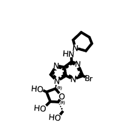 OC[C@H]1O[C@@H](n2cnc3c(NN4CCCCC4)nc(Br)nc32)C(O)C1O